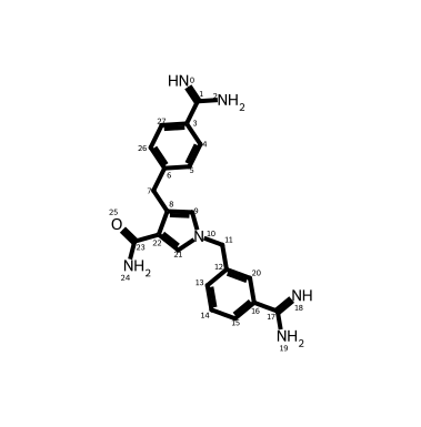 N=C(N)c1ccc(Cc2cn(Cc3cccc(C(=N)N)c3)cc2C(N)=O)cc1